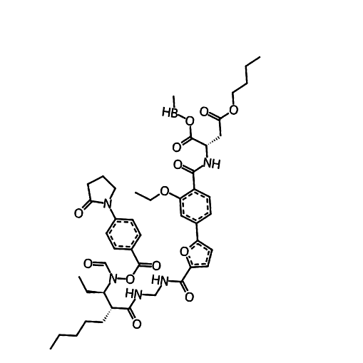 CBOC(=O)[C@H](CC(=O)OCCCC)NC(=O)c1ccc(-c2ccc(C(=O)NCNC(=O)[C@H](CCCCC)[C@@H](CC)N(C=O)OC(=O)c3ccc(N4CCCC4=O)cc3)o2)cc1OCC